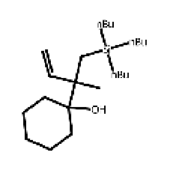 C=CC(C)(C[Si](CCCC)(CCCC)CCCC)C1(O)CCCCC1